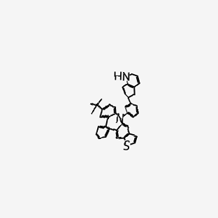 CC(C)(C)c1ccc2c(c1)-c1ccccc1-c1cc3sccc3cc1N2c1cccc(C2C=CC3=C(C=CCN3)C2)c1